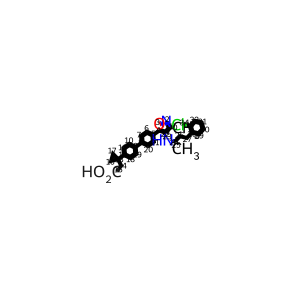 Cc1noc(-c2ccc(-c3ccc(C4(CC(=O)O)CC4)cc3)cc2)c1NC(C)CCc1ccccc1Cl